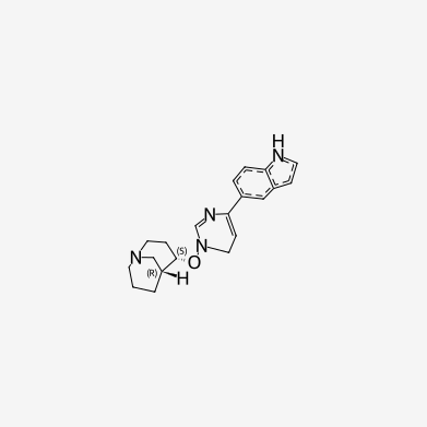 C1=NC(c2ccc3[nH]ccc3c2)=CCN1O[C@H]1CCN2CCC[C@@H]1C2